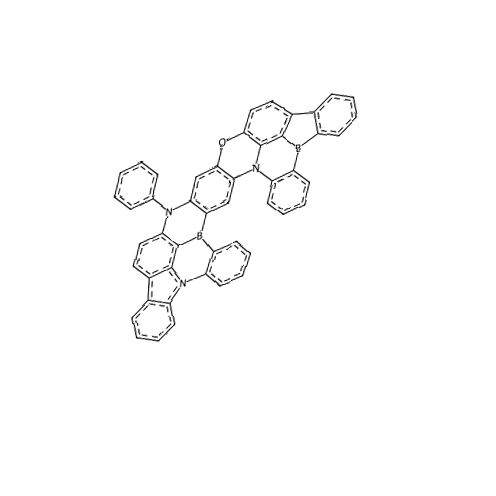 c1ccc(N2c3cc4c(cc3B3c5ccccc5-n5c6ccccc6c6ccc2c3c65)N2c3ccccc3B3c5ccccc5-c5ccc(c2c53)O4)cc1